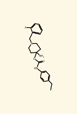 CCc1ccc(NC(=O)OC2(N)CCN(Cc3ccccc3F)CC2)cc1